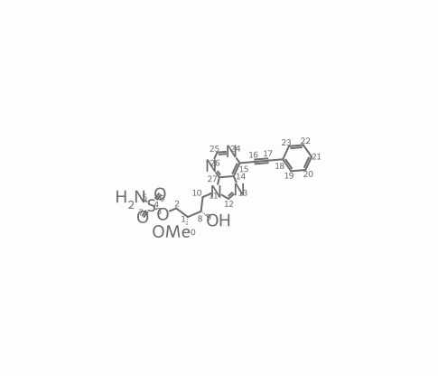 CO[C@H](COS(N)(=O)=O)[C@@H](O)Cn1cnc2c(C#Cc3ccccc3)ncnc21